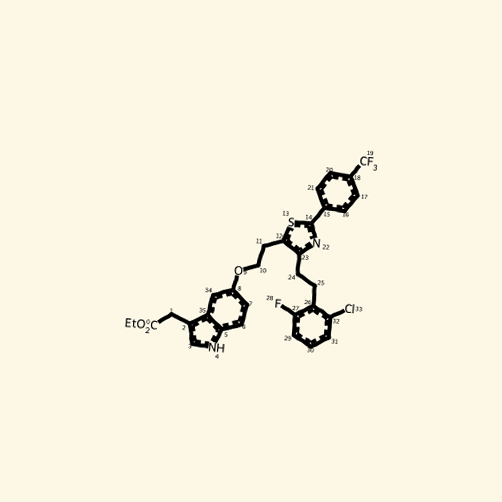 CCOC(=O)Cc1c[nH]c2ccc(OCCc3sc(-c4ccc(C(F)(F)F)cc4)nc3CCc3c(F)cccc3Cl)cc12